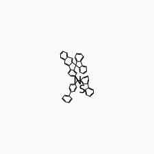 c1ccc(-c2ccc(N(c3ccc4c(c3)C3(c5ccccc5-c5ccccc53)c3cc5ccccc5cc3-4)c3cccc4c3sc3ccccc34)cc2)cc1